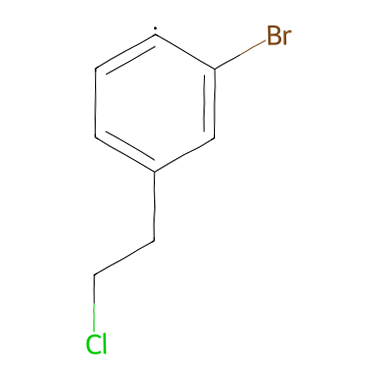 ClCCc1cc[c]c(Br)c1